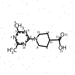 Cc1nc(C)nc(N2CCC(C(=O)O)CC2)n1